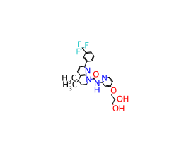 CC1(C)CCN(C(=O)Nc2cc(OCC(O)CO)ccn2)c2nc(-c3cccc(C(F)(F)F)c3)ccc21